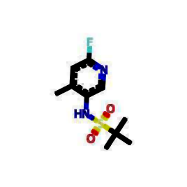 Cc1cc(F)ncc1NS(=O)(=O)C(C)(C)C